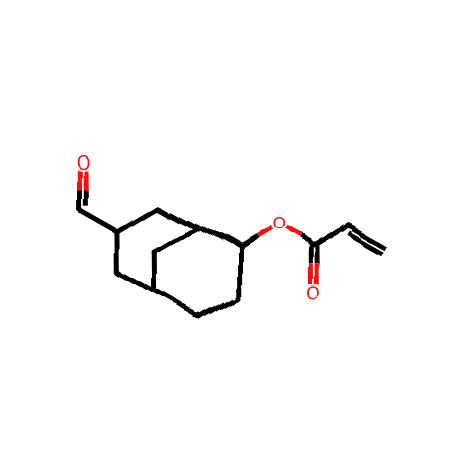 C=CC(=O)OC1CCC2CC(C=O)CC1C2